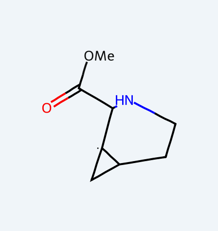 COC(=O)C1NCCC2C[C]21